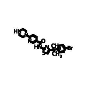 CC(C)(c1ccc(Br)cc1)c1csc(NC(=O)c2ccc(N3CCNCC3)nc2)n1